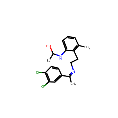 CCC(O)Nc1cccc(C)c1CCN=C(C)c1ccc(Cl)c(Cl)c1